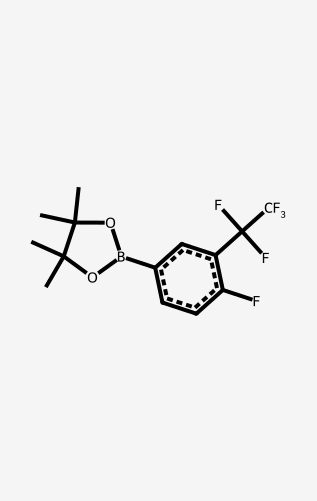 CC1(C)OB(c2ccc(F)c(C(F)(F)C(F)(F)F)c2)OC1(C)C